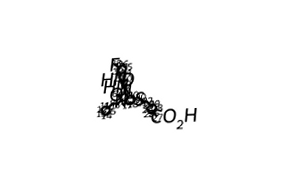 O=C(NN=C1C(=O)N(CCc2ccccc2)c2ccc(SCCc3ccc(C(=O)O)cc3)cc21)Nc1cccc(F)c1